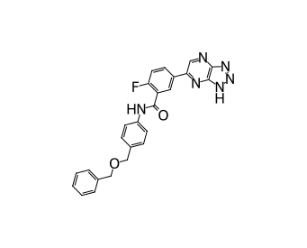 O=C(Nc1ccc(COCc2ccccc2)cc1)c1cc(-c2cnc3nn[nH]c3n2)ccc1F